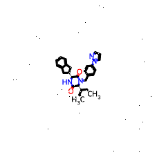 CCC(CC)[C@@H]1C(=O)N[C@H](C2Cc3ccccc3C2)C(=O)N1Cc1ccc(-n2cccn2)cc1